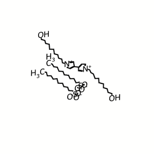 CCCCCCCCCCCCS(=O)(=O)[O-].CCCCCCCCCCCCS(=O)(=O)[O-].OCCCCCCCCCCC[n+]1ccc(-c2cc[n+](CCCCCCCCCCCO)cc2)cc1